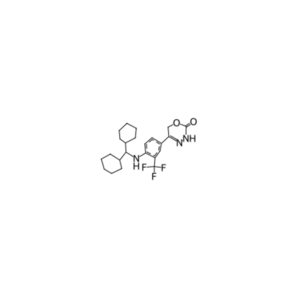 O=C1NN=C(c2ccc(NC(C3CCCCC3)C3CCCCC3)c(C(F)(F)F)c2)CO1